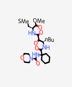 CCCC[C@H](NC(=O)C1(NC(=O)N2CCOCC2)CCCCC1)C(=O)C(=O)N[C@@H](CSC)C(=O)OC